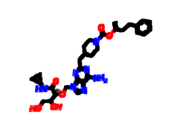 C=C(CCc1ccccc1)OC(=O)N1CCC(Cc2nc(N)c3ncn(CO[C@H](C(=O)NC4CC4)C(O)CO)c3n2)CC1